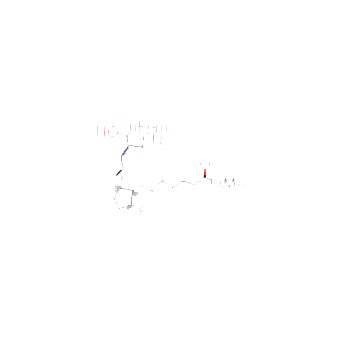 C=C/C(=C\C=C\[C@H]1CC[C@@H](F)[C@@H]1CCCCCCC(=O)OC)C(O)CCCCC